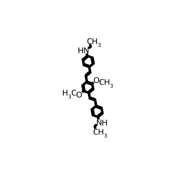 CCNc1ccc(/C=C/c2cc(OC)c(/C=C/c3ccc(NCC)cc3)cc2OC)cc1